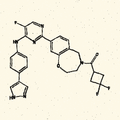 O=C(C1CC(F)(F)C1)N1CCOc2cc(-c3ncc(F)c(Nc4ccc(-c5cn[nH]c5)cc4)n3)ccc2C1